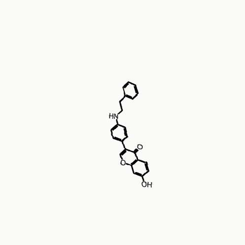 O=c1c(-c2ccc(NCCc3ccccc3)cc2)coc2cc(O)ccc12